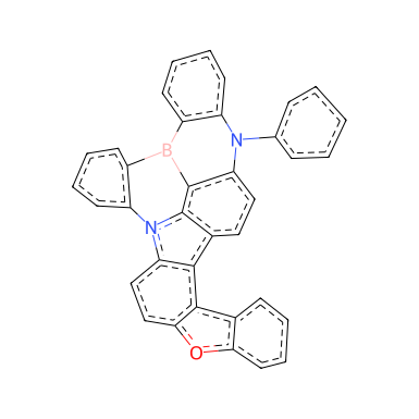 c1ccc(N2c3ccccc3B3c4ccccc4-n4c5ccc6oc7ccccc7c6c5c5ccc2c3c54)cc1